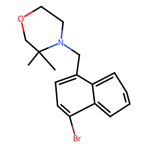 CC1(C)COCCN1Cc1ccc(Br)c2ccccc12